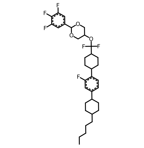 CCCCCC1CCC(c2ccc(C3CCC(C(F)(F)OC4COC(c5cc(F)c(F)c(F)c5)OC4)CC3)c(F)c2)CC1